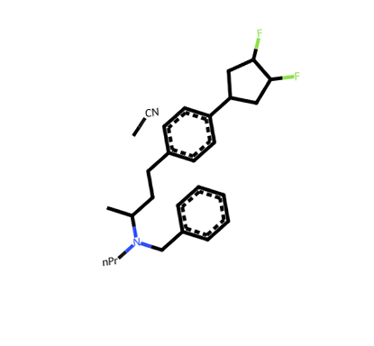 CC#N.CCCN(Cc1ccccc1)C(C)CCc1ccc(C2CC(F)C(F)C2)cc1